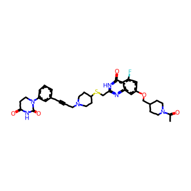 CC(=O)N1CCC(COc2cc(F)c3c(=O)[nH]c(CSC4CCN(CC#Cc5cccc(N6CCC(=O)NC6=O)c5)CC4)nc3c2)CC1